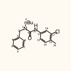 CCCCN(Cc1ccccc1)C(=O)Nc1ccc(C)c(Cl)c1